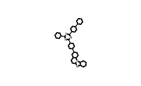 c1ccc(-c2ccc(-c3nc(-c4ccccc4)nc(-c4ccc(-c5ccc6c(ccc7nc8ccccc8n76)c5)cc4)n3)cc2)cc1